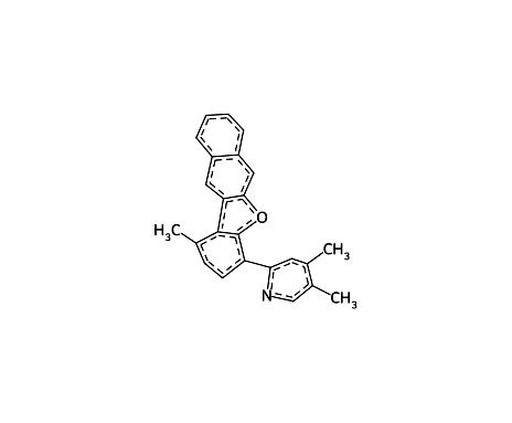 Cc1cnc(-c2ccc(C)c3c2oc2cc4ccccc4cc23)cc1C